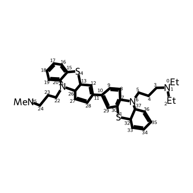 CCN(CC)CCCN1c2ccc(C3=CC4Sc5ccccc5N(CCCNC)C4C=C3)cc2SC2C=CC=CC21